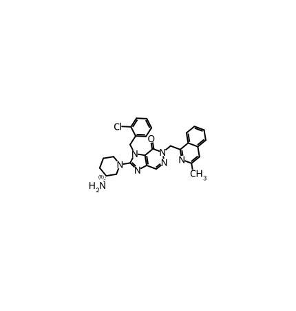 Cc1cc2ccccc2c(Cn2ncc3nc(N4CCC[C@@H](N)C4)n(Cc4ccccc4Cl)c3c2=O)n1